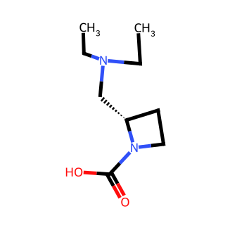 CCN(CC)C[C@@H]1CCN1C(=O)O